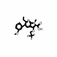 CCc1nc2c(cc1-c1cccc(OC)c1)c(OCC(F)(F)F)c(C(=O)O)n2C